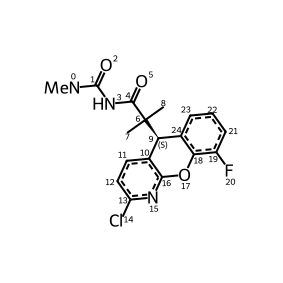 CNC(=O)NC(=O)C(C)(C)[C@@H]1c2ccc(Cl)nc2Oc2c(F)cccc21